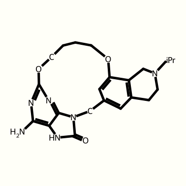 CC(C)N1CCc2cc3cc(c2C1)OCCCCOc1nc(N)c2[nH]c(=O)n(c2n1)C3